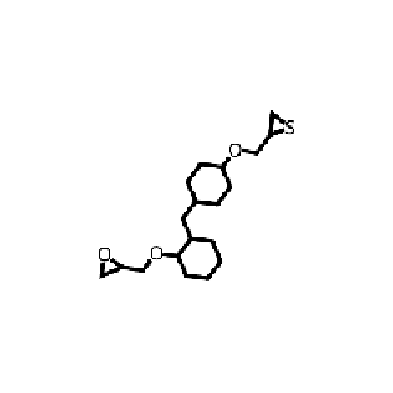 C1CCC(OCC2CO2)C(CC2CCC(OCC3CS3)CC2)C1